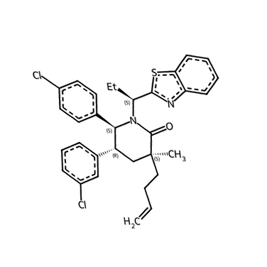 C=CCC[C@@]1(C)C[C@H](c2cccc(Cl)c2)[C@@H](c2ccc(Cl)cc2)N([C@@H](CC)c2nc3ccccc3s2)C1=O